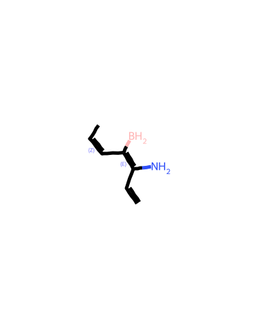 BC(/C=C\C)=C(\N)C=C